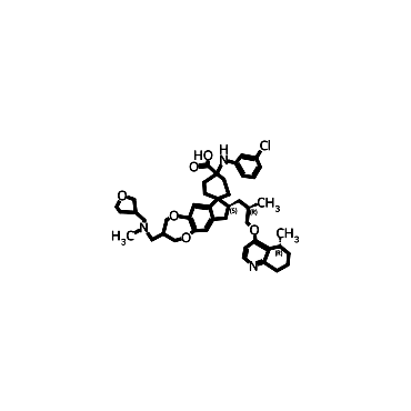 C[C@@H](COc1ccnc2c1[C@H](C)CCC2)C[C@H]1Cc2cc3c(cc2C12CCC(Nc1cccc(Cl)c1)(C(=O)O)CC2)OCC(CN(C)CC1CCOC1)CO3